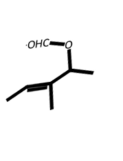 CC=C(C)C(C)O[C]=O